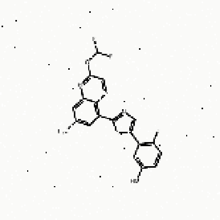 Cc1cc(-c2ncc(-c3cc(O)ccc3F)s2)c2ncc(OC(F)F)nc2c1